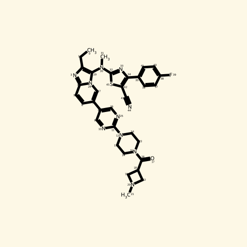 CCc1nc2ccc(-c3cnc(N4CCN(C(=O)C5CN(C)C5)CC4)nc3)cn2c1N(C)c1nc(-c2ccc(F)cc2)c(C#N)s1